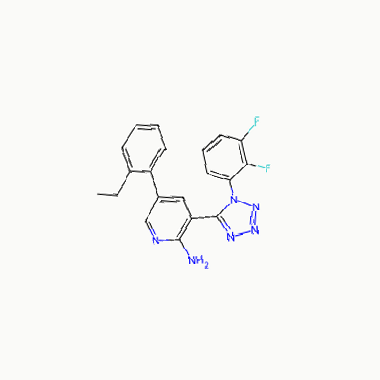 CCc1ccccc1-c1cnc(N)c(-c2nnnn2-c2cccc(F)c2F)c1